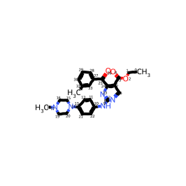 CCOC(=O)c1cnc(Nc2ccc(N3CCN(C)CC3)cc2)nc1C(=O)c1cccc(C)c1